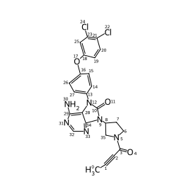 CC#CC(=O)N1CCC(n2c(=O)n(-c3ccc(Oc4ccc(Cl)c(Cl)c4)cc3)c3c(N)ncnc32)C1